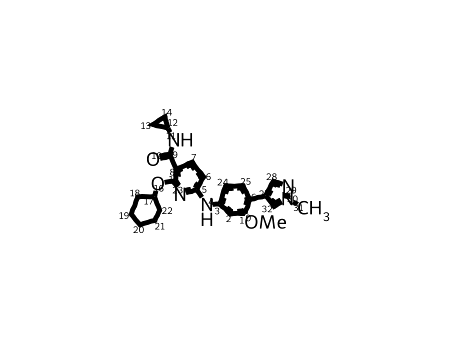 COc1cc(Nc2ccc(C(=O)NC3CC3)c(OC3CCCCC3)n2)ccc1-c1cnn(C)c1